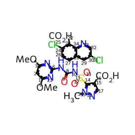 COc1cc(OC)nc(NC(=O)NS(=O)(=O)c2c(C(=O)O)cnn2C)n1.O=C(O)c1c(Cl)ccc2cc(Cl)cnc12